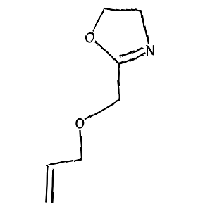 C=CCOCC1=NCCO1